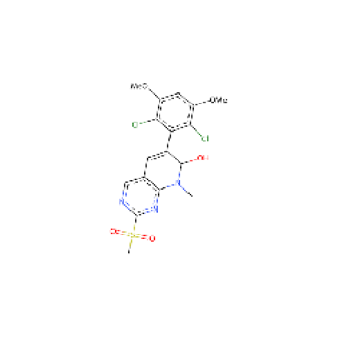 COc1cc(OC)c(Cl)c(C2=Cc3cnc(S(C)(=O)=O)nc3N(C)C2O)c1Cl